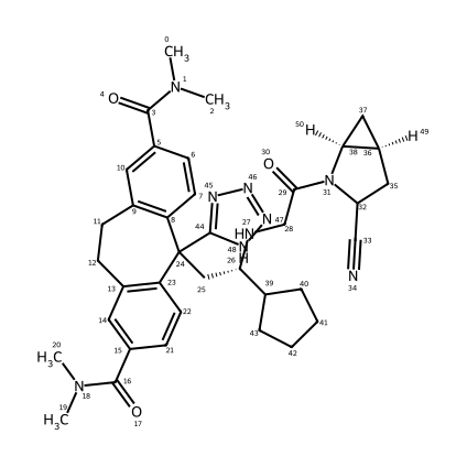 CN(C)C(=O)c1ccc2c(c1)CCc1cc(C(=O)N(C)C)ccc1C2(C[C@H](NCC(=O)N1C(C#N)C[C@@H]2C[C@@H]21)C1CCCC1)c1nnn[nH]1